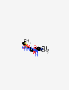 Cc1ccc(S(=O)(=O)NC(=O)Nc2ccc(-n3c(=O)[nH]c4cc(N(C)C)ccc4c3=O)nc2)s1